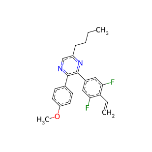 C=Cc1c(F)cc(-c2nc(CCCC)cnc2-c2ccc(OC)cc2)cc1F